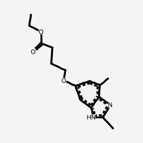 CCOC(=O)CCCOc1cc(C)c2nc(C)[nH]c2c1